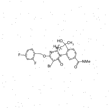 CNC(=O)c1ccc(C(C)(C)O)c(-n2c(C)nc(OCc3ccc(F)cc3F)c(Br)c2=O)c1